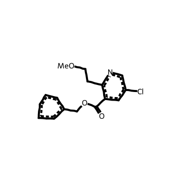 COCCc1ncc(Cl)cc1C(=O)OCc1ccccc1